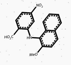 COc1ccc2ccccc2c1Nc1cc([N+](=O)[O-])ccc1C(=O)O